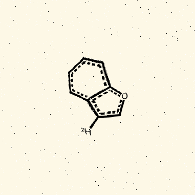 [2H]c1coc2ccccc12